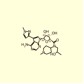 CC(O)CN(C(=O)[C@H]1O[C@@H](n2cc(-c3ccn(C)n3)c3c(N)ncnc32)[C@H](O)[C@@H]1O)C1CCN(C)CC1